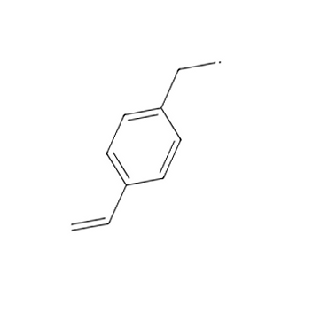 [CH2]Cc1ccc(C=C)cc1